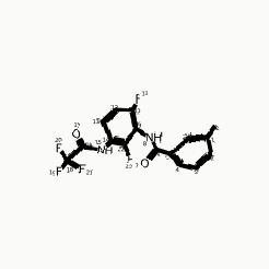 Cc1cccc(C(=O)Nc2c(F)ccc(NC(=O)C(F)(F)F)c2F)c1